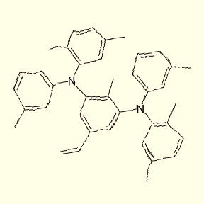 C=Cc1cc(N(c2cccc(C)c2)c2cc(C)ccc2C)c(C)c(N(c2cccc(C)c2)c2cc(C)ccc2C)c1